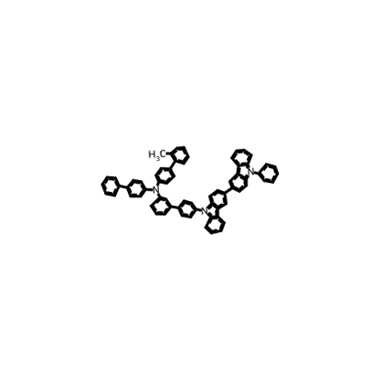 Cc1ccccc1-c1ccc(N(c2ccc(-c3ccccc3)cc2)c2cccc(-c3ccc(-n4c5ccccc5c5cc(-c6ccc7c(c6)c6ccccc6n7-c6ccccc6)ccc54)cc3)c2)cc1